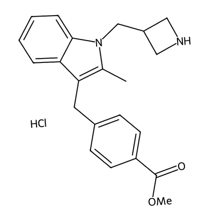 COC(=O)c1ccc(Cc2c(C)n(CC3CNC3)c3ccccc23)cc1.Cl